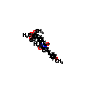 COc1ccc(CCCCN2C(=O)[C@H](Cc3ccc(-c4cc(OC)c(OC)c(OC)c4)cc3)N(C)C(=O)[C@@H]2C)cc1